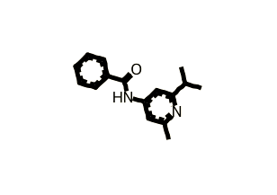 Cc1cc(NC(=O)c2ccccc2)cc(C(C)C)n1